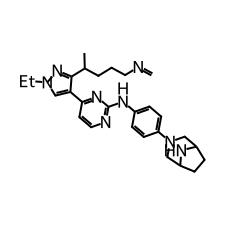 C=NCCCC(C)c1nn(CC)cc1-c1ccnc(Nc2ccc(N3CC4CCC(C3)N4)cc2)n1